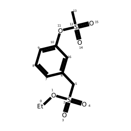 CCOS(=O)(=O)Cc1cccc(OS(C)(=O)=O)c1